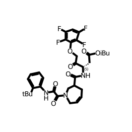 CC(C)COC(=O)C[C@H](NC(=O)C1CC=CCN(C(=O)C(=O)Nc2ccccc2C(C)(C)C)C1)C(=O)COc1c(F)c(F)cc(F)c1F